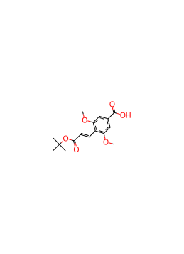 COc1cc(C(=O)O)cc(OC)c1/C=C/C(=O)OC(C)(C)C